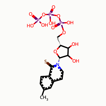 Cc1ccc2c(=S)n([C@@H]3O[C@H](COP(=O)(O)OP(=O)(O)OP(=O)(O)O)C(O)C3O)ccc2c1